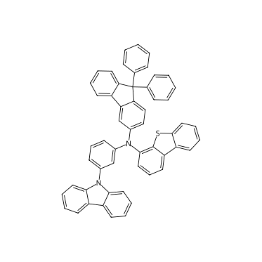 c1ccc(C2(c3ccccc3)c3ccccc3-c3cc(N(c4cccc(-n5c6ccccc6c6ccccc65)c4)c4cccc5c4sc4ccccc45)ccc32)cc1